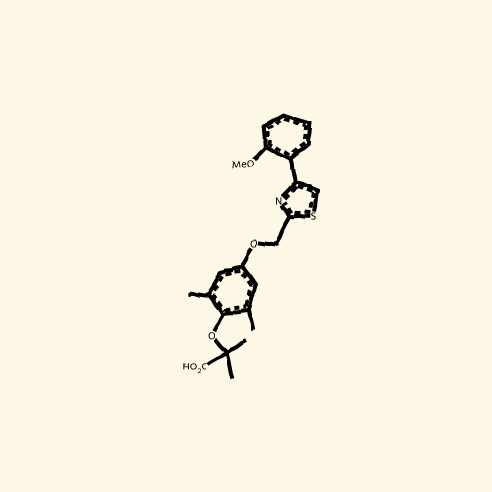 COc1ccccc1-c1csc(COc2cc(C)c(OC(C)(C)C(=O)O)c(C)c2)n1